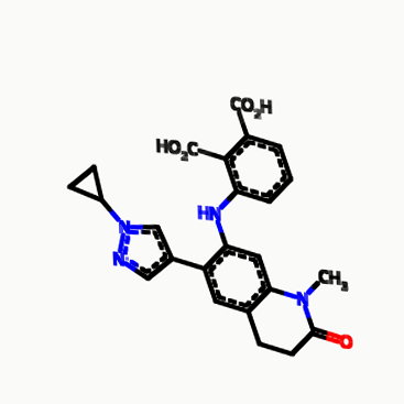 CN1C(=O)CCc2cc(-c3cnn(C4CC4)c3)c(Nc3cccc(C(=O)O)c3C(=O)O)cc21